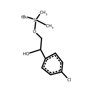 CC(C)(C)[Si](C)(C)OCC(O)c1ccc(Cl)cc1